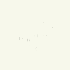 CN(C)C.COS(=O)(=O)O.Cl